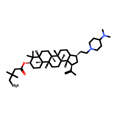 C=C(C)[C@@H]1C[C@@H](CCN2CCC(N(C)C)CC2)C2CC[C@]3(C)[C@H](CC[C@@H]4[C@@]5(C)CC[C@H](OC(=O)CC(C)(C)CC(=O)O)C(C)(C)[C@@H]5CC[C@]43C)[C@H]21